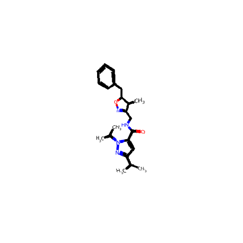 CC(C)c1cc(C(=O)NCC2=NOC(Cc3ccccc3)C2C)n(C(C)C)n1